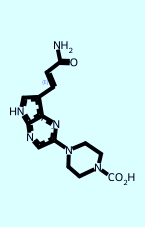 NC(=O)/C=C/c1c[nH]c2ncc(N3CCN(C(=O)O)CC3)nc12